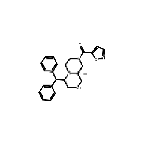 O=C(c1ccno1)N1CCN2C(C(c3ccccc3)c3ccccc3)CNC[C@@H]2C1